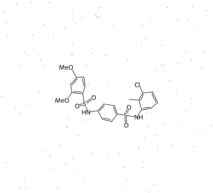 COc1ccc(S(=O)(=O)Nc2ccc(S(=O)(=O)Nc3cccc(Cl)c3C)cc2)c(OC)c1